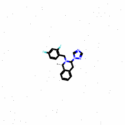 C[C@H]1c2ccccc2CC(n2cncn2)N1Cc1ccc(F)cc1F